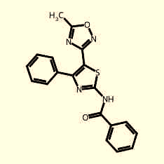 Cc1nc(-c2sc(NC(=O)c3ccccc3)nc2-c2ccccc2)no1